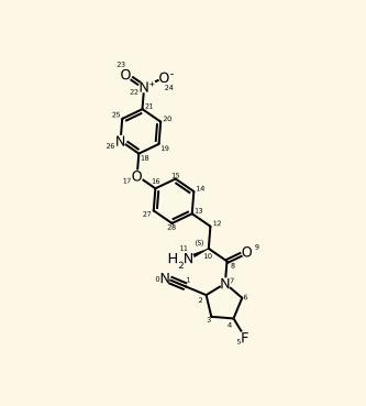 N#CC1CC(F)CN1C(=O)[C@@H](N)Cc1ccc(Oc2ccc([N+](=O)[O-])cn2)cc1